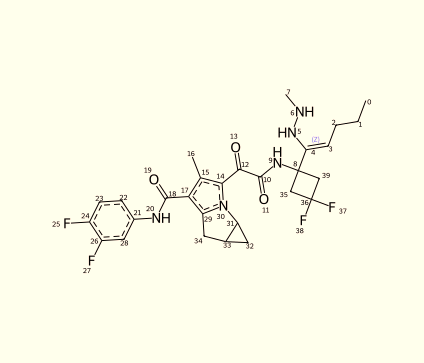 CCC/C=C(\NNC)C1(NC(=O)C(=O)c2c(C)c(C(=O)Nc3ccc(F)c(F)c3)c3n2C2CC2C3)CC(F)(F)C1